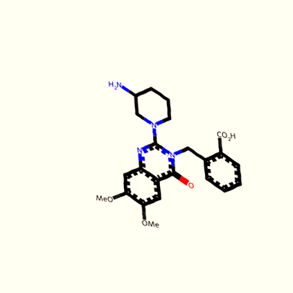 COc1cc2nc(N3CCCC(N)C3)n(Cc3ccccc3C(=O)O)c(=O)c2cc1OC